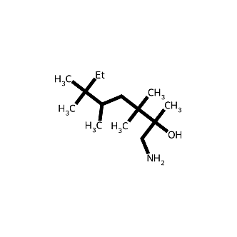 CCC(C)(C)C(C)CC(C)(C)C(C)(O)CN